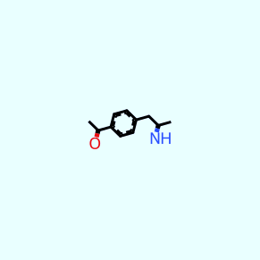 CC(=N)Cc1ccc(C(C)=O)cc1